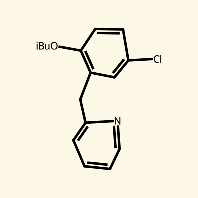 CC(C)COc1ccc(Cl)cc1Cc1ccccn1